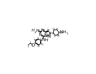 CCOc1ccc(Nc2nc(N)nc3cc([C@H]4CC[C@@H](N)CC4)nn23)cc1